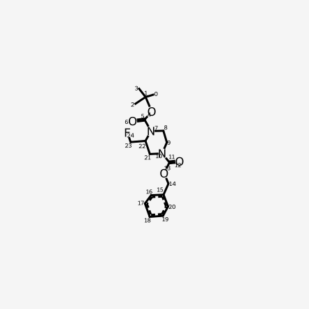 CC(C)(C)OC(=O)N1CCN(C(=O)OCc2ccccc2)CC1CF